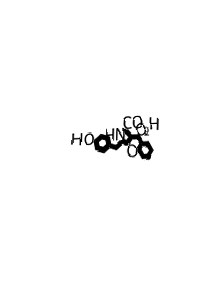 O=C(O)c1[nH]c(Cc2ccc(O)cc2)c2oc3ccccc3c(=O)c12